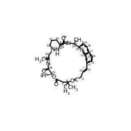 CC(C)[C@@H]1OC(=O)CC(C)(C)OCC/C=C/c2ccc3ccc(nc3c2)[C@@H](C)NC(=O)[C@@H]2CCCN(C[C@H](C)NC1=O)N2